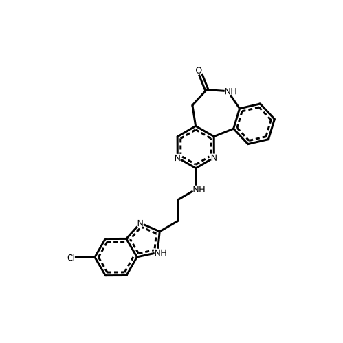 O=C1Cc2cnc(NCCc3nc4cc(Cl)ccc4[nH]3)nc2-c2ccccc2N1